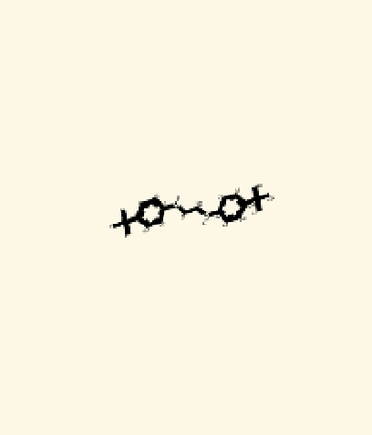 CC(C)(C)c1ccc(SCCSc2ccc(C(C)(C)C)cc2)cc1